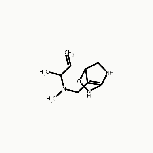 C=CC(C)N(C)CC1=C2NCC1ON2